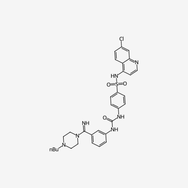 CCCCN1CCN(C(=N)c2cccc(NC(=O)Nc3ccc(S(=O)(=O)Nc4ccnc5cc(Cl)ccc45)cc3)c2)CC1